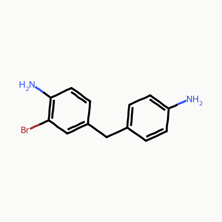 Nc1ccc(Cc2ccc(N)c(Br)c2)cc1